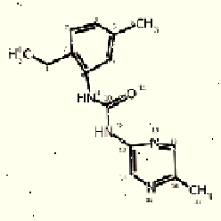 CCc1ccc(C)cc1NC(=O)Nc1cnc(C)cn1